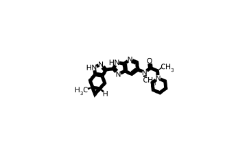 C[C@@H](C(=O)N(C)c1cnc2[nH]c(-c3n[nH]c4c3C[C@@H]3C[C@]3(C)C4)nc2c1)N1CCCCC1